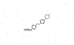 CCCCCCc1ccc(CCc2ccc(C3CCC(C)CC3)cc2)cc1